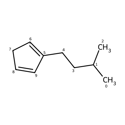 CC(C)CCC1=[C]CC=C1